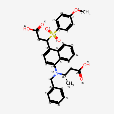 COc1ccc(S(=O)(=O)C(CC(=O)O)c2ccc(N(Cc3ccccc3)[C@@H](C)CC(=O)O)c3ccccc23)cc1